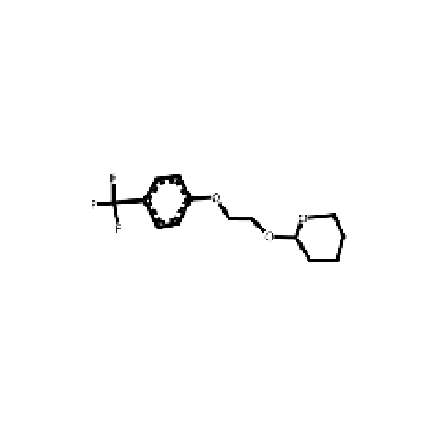 FC(F)(F)c1ccc(OCCOC2CCCCO2)cc1